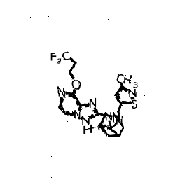 Cc1cc(N2CC3C[C@@H](C2)[C@@H]3Nc2nc3c(OCCC(F)(F)F)nccn3n2)sn1